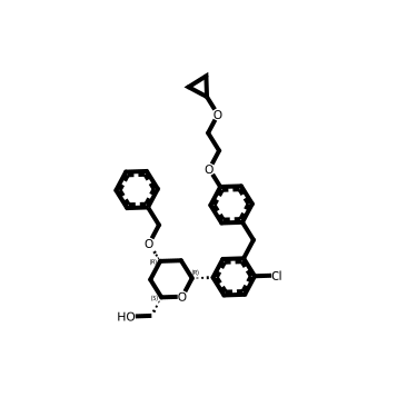 OC[C@@H]1C[C@H](OCc2ccccc2)C[C@H](c2ccc(Cl)c(Cc3ccc(OCCOC4CC4)cc3)c2)O1